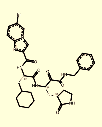 O=C(NCc1ccccc1)C(=O)[C@H](C[C@@H]1CCNC1=O)NC(=O)[C@H](CC1CCCCC1)NC(=O)c1cn2cc(Br)ccc2n1